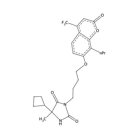 CCCc1c(OCCCCN2C(=O)NC(C)(C3CCC3)C2=O)ccc2c(C(F)(F)F)cc(=O)oc12